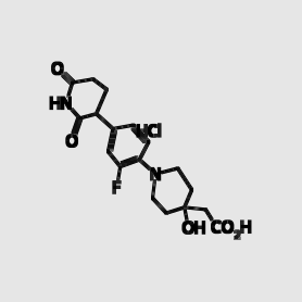 Cl.O=C(O)CC1(O)CCN(c2ccc(C3CCC(=O)NC3=O)cc2F)CC1